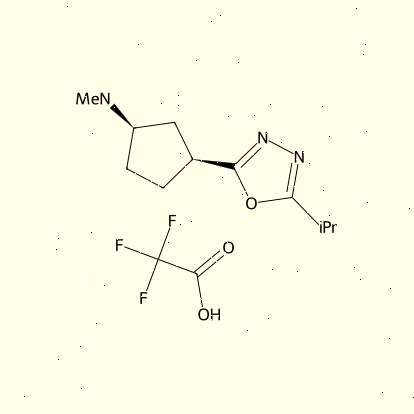 CN[C@@H]1CC[C@H](c2nnc(C(C)C)o2)C1.O=C(O)C(F)(F)F